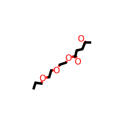 CCCOCCOCCOC(=O)CCC(C)=O